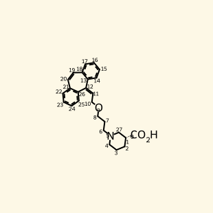 O=C(O)[C@@H]1CCCN(CCCOCC=C2c3ccccc3C=Cc3ccccc32)C1